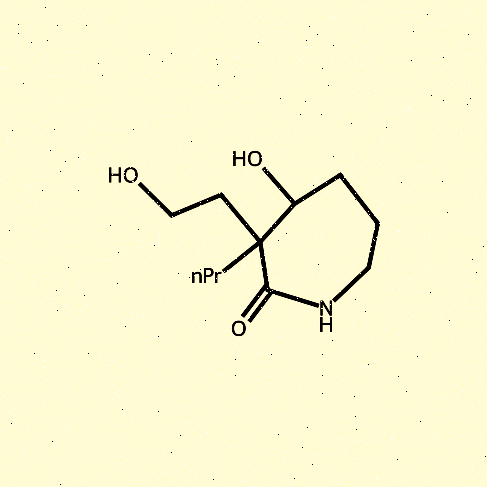 CCCC1(CCO)C(=O)NCCCC1O